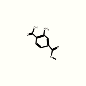 COC(=O)c1ccc(C(=O)O)c(N)c1